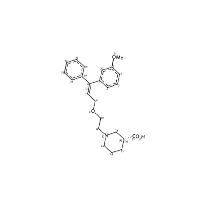 COc1cccc(/C(=C\COCCN2CCC[C@@H](C(=O)O)C2)c2ccccc2)c1